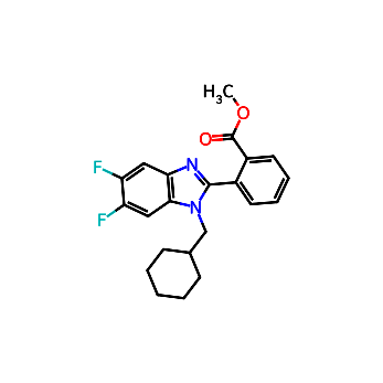 COC(=O)c1ccccc1-c1nc2cc(F)c(F)cc2n1CC1CCCCC1